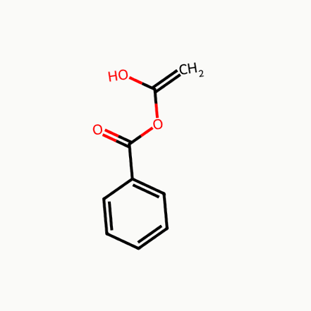 C=C(O)OC(=O)c1ccccc1